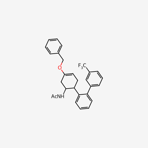 CC(=O)NC1CC(OCc2ccccc2)=CCC1c1ccccc1-c1cccc(C(F)(F)F)c1